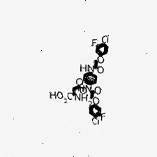 NC(CC(=O)OC1CC2(NC(=O)COc3ccc(Cl)c(F)c3)CCC1(NC(=O)COc1ccc(Cl)c(F)c1)CC2)C(=O)O